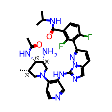 CC(=O)N[C@@H]1[C@H](N)CN(c2ccncc2Nc2ncc3ccc(-c4c(F)ccc(C(=O)NC(C)C)c4F)nn23)C[C@@H]1C